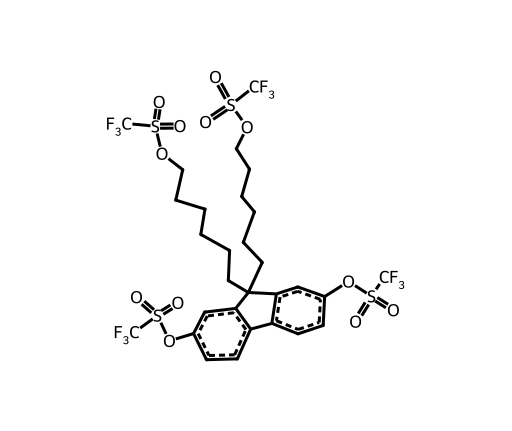 O=S(=O)(OCCCCCCC1(CCCCCCOS(=O)(=O)C(F)(F)F)c2cc(OS(=O)(=O)C(F)(F)F)ccc2-c2ccc(OS(=O)(=O)C(F)(F)F)cc21)C(F)(F)F